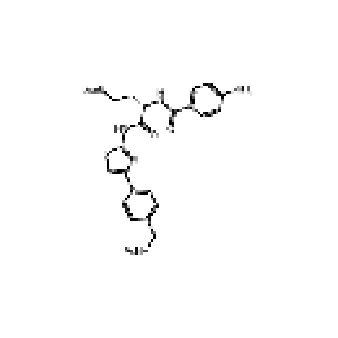 CSCC[C@H](NC(=O)c1ccc(N)cc1)C(=O)Nc1nc(-c2ccc(CNC(C)=O)cc2)cs1